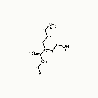 CCOC(=O)C(CCO)CCCN